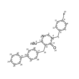 CCCCc1ncn(Cc2ccc(F)cc2)c(=O)c1Cc1ccc(-c2ccccc2)cc1